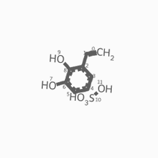 C=Cc1cccc(O)c1O.O=S(=O)(O)O